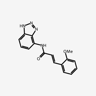 COc1ccccc1C=CC(=O)Nc1cccc2[nH]nnc12